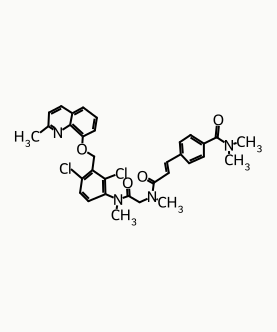 Cc1ccc2cccc(OCc3c(Cl)ccc(N(C)C(=O)CN(C)C(=O)C=Cc4ccc(C(=O)N(C)C)cc4)c3Cl)c2n1